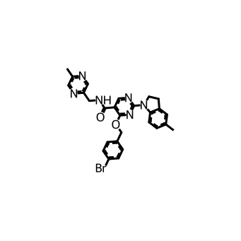 Cc1ccc2c(c1)CCN2c1ncc(C(=O)NCc2cnc(C)cn2)c(OCc2ccc(Br)cc2)n1